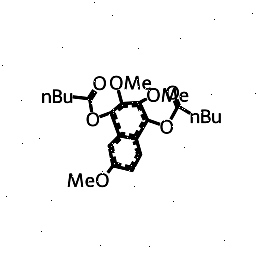 CCCCC(=O)Oc1c(OC)c(OC)c(OC(=O)CCCC)c2cc(OC)ccc12